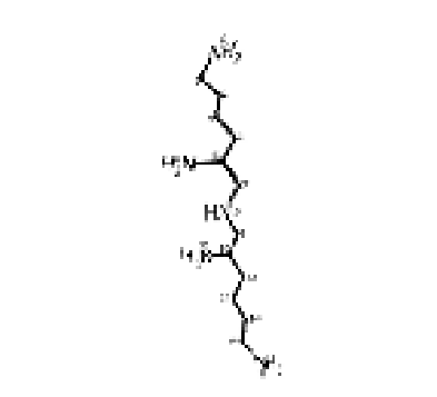 NCCCCC(N)CNCC(N)CCCCN